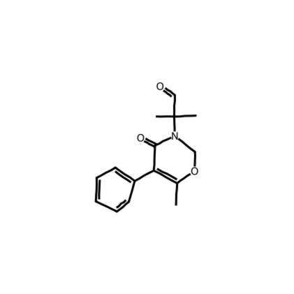 CC1=C(c2ccccc2)C(=O)N(C(C)(C)C=O)CO1